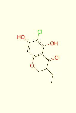 CCC1COc2cc(O)c(Cl)c(O)c2C1=O